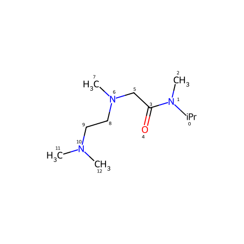 CC(C)N(C)C(=O)CN(C)CCN(C)C